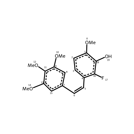 COc1ccc(/C=C\c2cc(OC)c(OC)c(OC)c2)c(F)c1O